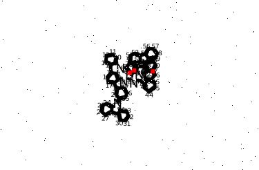 c1ccc(-c2ccc(-n3c4ccccc4c4ccc5c6cc(-n7c8ccccc8c8ccccc87)ccc6n(-c6nc(-c7ccccc7)nc(-c7cccc8c9ccccc9n(-c9ccccc9)c78)n6)c5c43)cc2)cc1